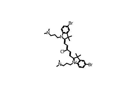 CN(C)CCCN1/C(=C/C=C(Cl)/C=C/C2=[N+](CCCN(C)C)c3ccc(Br)cc3C2(C)C)C(C)(C)c2cc(Br)ccc21